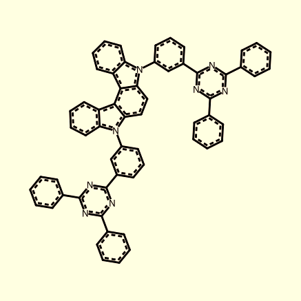 c1ccc(-c2nc(-c3ccccc3)nc(-c3cccc(-n4c5ccccc5c5c6c7ccccc7n(-c7cccc(-c8nc(-c9ccccc9)nc(-c9ccccc9)n8)c7)c6ccc54)c3)n2)cc1